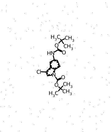 CC(C)(C)OC(=O)Nc1ccc2c(c1)c(Cl)cn2C(=O)OC(C)(C)C